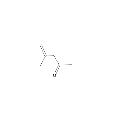 C=C(C)CC(C)=O